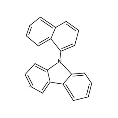 [c]1ccc2c(c1)c1ccccc1n2-c1cccc2ccccc12